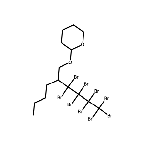 CCCCC(COC1CCCCO1)C(Br)(Br)C(Br)(Br)C(Br)(Br)C(Br)(Br)Br